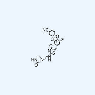 N#Cc1ccc(Oc2ccc(C=C3SC(NCCN4CCNC(=O)C4)=NC3=O)cc2F)c(C(F)(F)F)c1